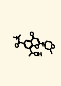 CC1CN(c2cc(=O)c3cc(C(=O)N(C)C)cc(C(C)O)c3o2)CCO1